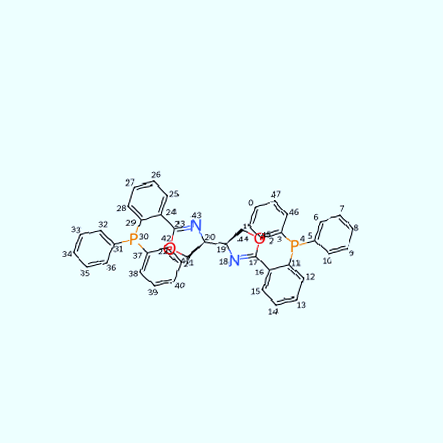 c1ccc(P(c2ccccc2)c2ccccc2C2=N[C@@H]([C@H]3COC(c4ccccc4P(c4ccccc4)c4ccccc4)=N3)CO2)cc1